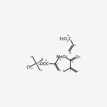 C=C(C)C(=O)OC.C=C(C)C(=O)[O-].C=CC(=O)OCC.C[N+](C)(C)Cl